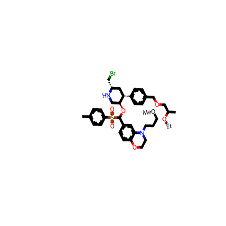 CCOC(C)COCc1ccc([C@H]2C[C@@H](CBr)NC[C@@H]2OC(c2ccc3c(c2)N(CCCOC)CCO3)S(=O)(=O)c2ccc(C)cc2)cc1